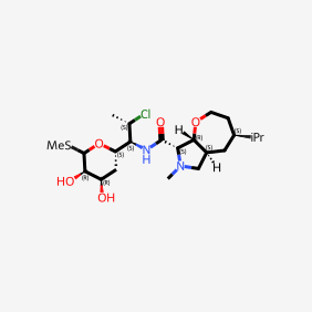 CSC1O[C@H]([C@H](NC(=O)[C@@H]2[C@@H]3OCC[C@@H](C(C)C)C[C@H]3CN2C)[C@H](C)Cl)C[C@@H](O)[C@H]1O